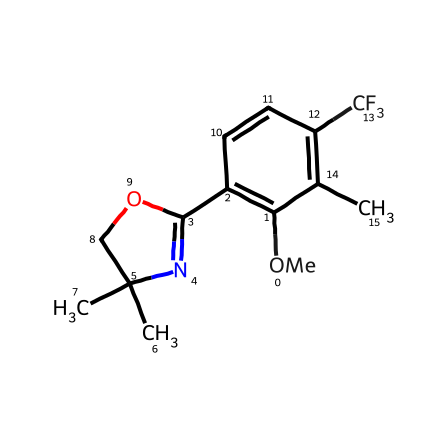 COc1c(C2=NC(C)(C)CO2)ccc(C(F)(F)F)c1C